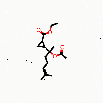 CCOC(=O)C1CC1C(C)(CCC=C(C)C)OC(C)=O